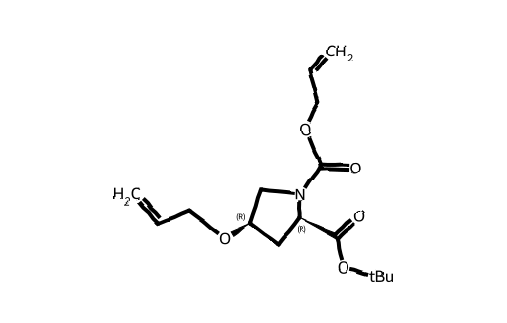 C=CCOC(=O)N1C[C@H](OCC=C)C[C@@H]1C(=O)OC(C)(C)C